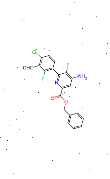 Nc1cc(C(=O)OCc2ccccc2)nc(-c2ccc(Cl)c(C=O)c2F)c1F